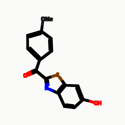 COc1ccc(C(=O)c2nc3ccc(O)cc3s2)cc1